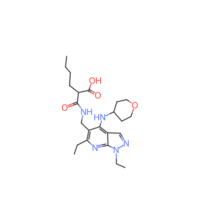 CCCCC(C(=O)O)C(=O)NCc1c(CC)nc2c(cnn2CC)c1NC1CCOCC1